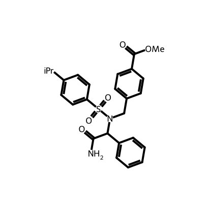 COC(=O)c1ccc(CN(C(C(N)=O)c2ccccc2)S(=O)(=O)c2ccc(C(C)C)cc2)cc1